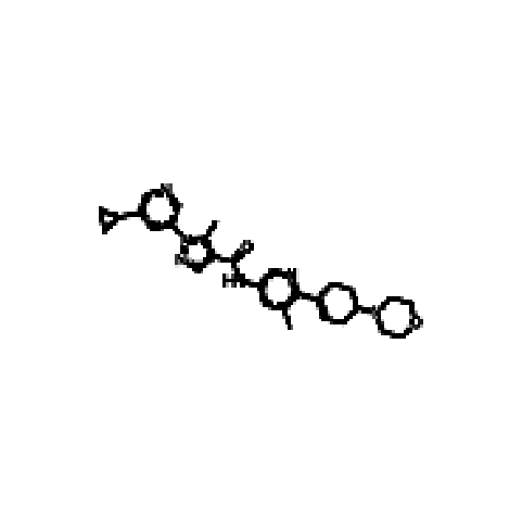 Cc1cc(NC(=O)c2cnn(-c3cncc(C4CC4)c3)c2C)cnc1C1=CCC(N2CCOCC2)CC1